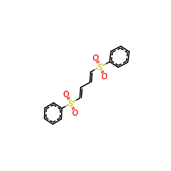 O=S(=O)(C=CC=CS(=O)(=O)c1ccccc1)c1ccccc1